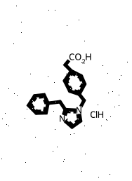 Cl.O=C(O)Cc1ccc(Cn2ccnc2Cc2ccccc2)cc1